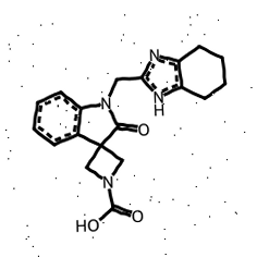 O=C(O)N1CC2(C1)C(=O)N(Cc1nc3c([nH]1)CCCC3)c1ccccc12